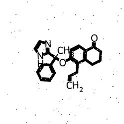 C=CCc1c(O[C@@](C)(c2ccccc2)c2ncc[nH]2)ccc2c1CCCC2=O